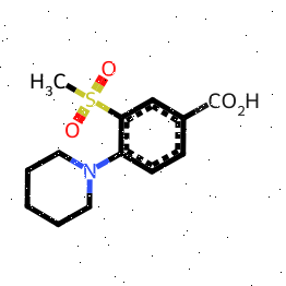 CS(=O)(=O)c1cc(C(=O)O)ccc1N1CCCCC1